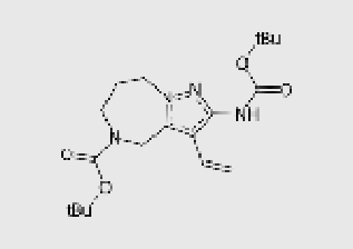 C=Cc1c(NC(=O)OC(C)(C)C)nn2c1CN(C(=O)OC(C)(C)C)CCC2